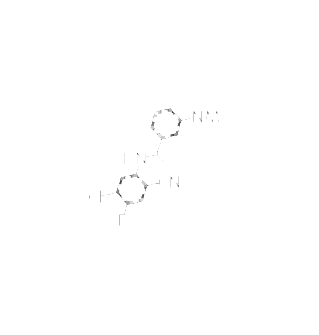 CCC(Nc1cc(Cl)c(F)cc1C#N)c1cccc(NC)c1